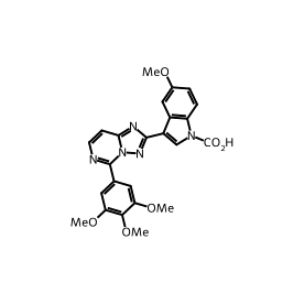 COc1ccc2c(c1)c(-c1nc3ccnc(-c4cc(OC)c(OC)c(OC)c4)n3n1)cn2C(=O)O